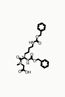 CN(CC(=O)O)C(=O)[C@@H](CCCCNC(=O)OCc1ccccc1)NC(=O)OCc1ccccc1